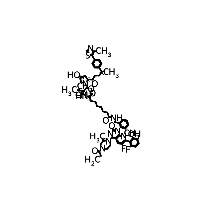 C=CC(=O)N1CCN(c2nc(=O)n(-c3c(C)cccc3CNC(=O)CCCCCCC(=O)N[C@H](C(=O)N3C[C@H](O)C[C@H]3C(=O)CC[C@@H](C)c3ccc(-c4scnc4C)cc3)C(C)(C)C)c3nc(-c4c(O)cccc4F)c(F)cc23)[C@@H](C)C1